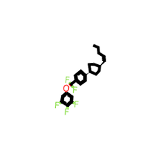 CCC/C=C\[C@H]1CC[C@H](c2ccc(C(F)(F)Oc3cc(F)c(F)c(F)c3)cc2)CC1